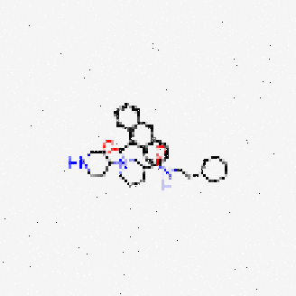 O=C(NCCC1CCCCC1)C1CCC[N+](C(=O)c2c3ccccc3cc3ccccc23)(C2CCNCC2)C1